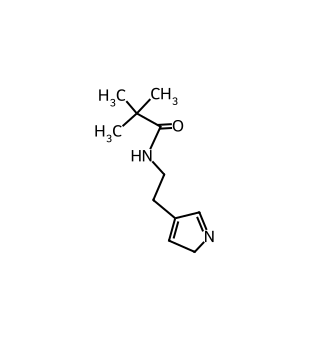 CC(C)(C)C(=O)NCCC1=CCN=C1